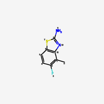 Cc1c(F)ccc2sc(N)nc12